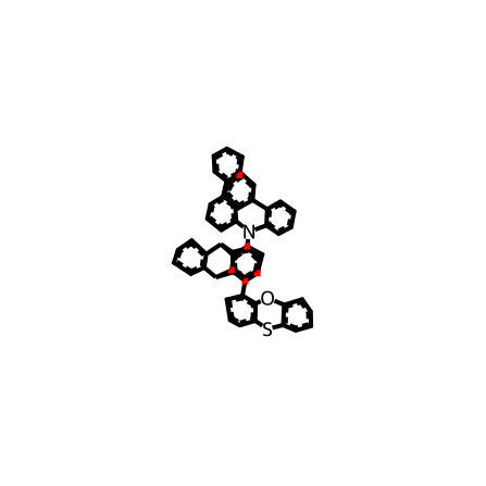 c1ccc(-c2cccc(N(c3ccccc3-c3ccccc3)c3ccc(-c4cccc5c4Oc4ccccc4S5)c4c3C3c5ccccc5C4c4ccccc43)c2)cc1